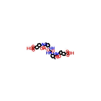 Cc1ccc(NC(=O)C(=O)Nc2ccc(C)c(C(=O)Nc3ccc4cc(S(=O)(=O)O)ccc4c3O)c2)cc1C(=O)Nc1ccc2cc(S(=O)(=O)O)ccc2c1O